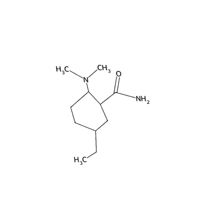 CCC1CCC(N(C)C)C(C(N)=O)C1